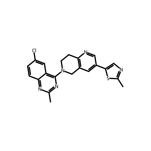 Cc1nc(N2CCc3ncc(-c4cnc(C)s4)cc3C2)c2cc(Cl)ccc2n1